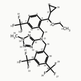 CCOC(c1ccc(C(F)(F)F)cc1CN(Cc1cc(C(F)(F)F)cc(C(F)(F)F)c1)c1nnn(C)n1)C1CC1